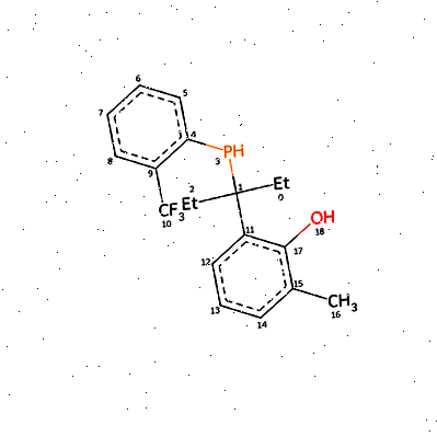 CCC(CC)(Pc1ccccc1C(F)(F)F)c1cccc(C)c1O